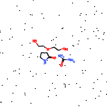 NC(N)=O.O=C1CCCN1.OCCOCCO